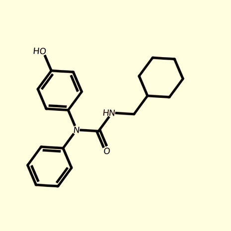 O=C(NCC1CCCCC1)N(c1ccccc1)c1ccc(O)cc1